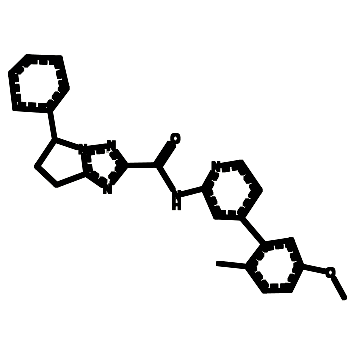 COc1ccc(C)c(-c2ccnc(NC(=O)c3nc4n(n3)C(c3ccccc3)CC4)c2)c1